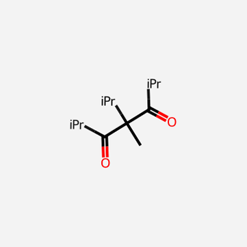 CC(C)C(=O)C(C)(C(=O)C(C)C)C(C)C